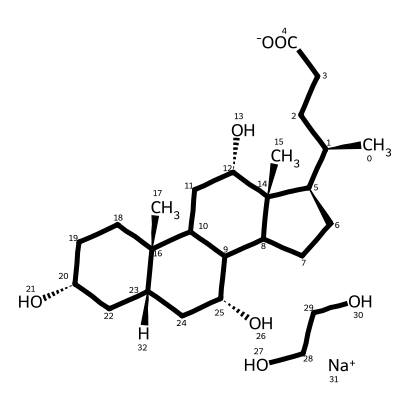 C[C@H](CCC(=O)[O-])[C@H]1CCC2C3C(C[C@H](O)[C@@]21C)[C@@]1(C)CC[C@@H](O)C[C@H]1C[C@H]3O.OCCO.[Na+]